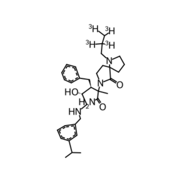 [3H]C([3H])C([3H])([3H])CN1CCCC12CCN(C(C)(C(N)=O)[C@H](Cc1ccccc1)[C@@H](O)CNCc1cccc(C(C)C)c1)C2=O